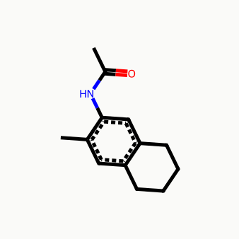 CC(=O)Nc1cc2c(cc1C)CCCC2